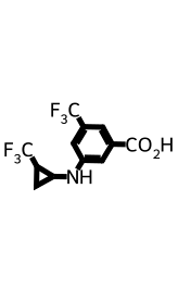 O=C(O)c1cc(NC2CC2C(F)(F)F)cc(C(F)(F)F)c1